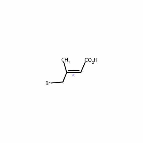 C/C(=C\C(=O)O)CBr